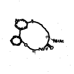 CC(=O)N[C@H]1CCCCSc2cncc(c2)-c2ccccc2OC[C@@H](C)NC1=O